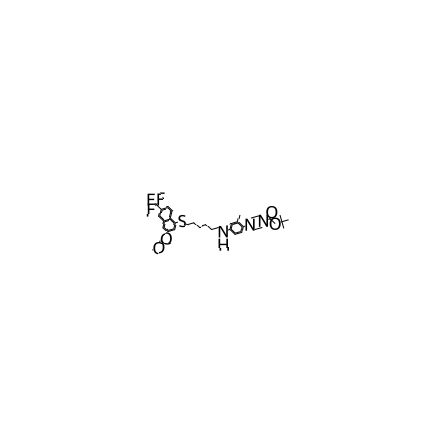 COCOc1cc(SCCCCCCNc2ccc(N3CCN(C(=O)OC(C)(C)C)CC3)c(C)c2)c2ccc(C(F)(F)F)cc2c1